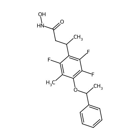 Cc1c(F)c(C(C)CC(=O)NO)c(F)c(F)c1OC(C)c1ccccc1